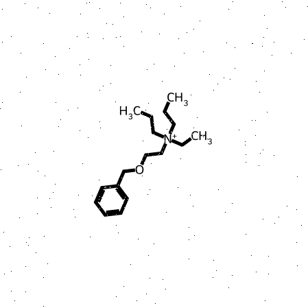 CCC[N+](CC)(CCC)CCOCc1ccccc1